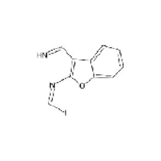 N=Cc1c(/N=C\I)oc2ccccc12